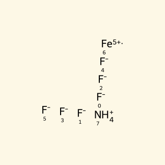 [F-].[F-].[F-].[F-].[F-].[F-].[Fe+5].[NH4+]